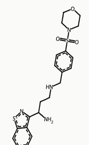 NC(CCNCc1ccc(S(=O)(=O)N2CCOCC2)cc1)c1nsc2ccccc12